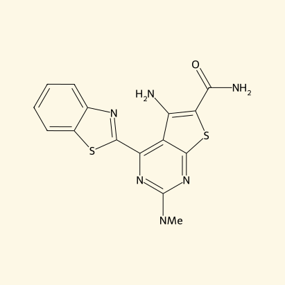 CNc1nc(-c2nc3ccccc3s2)c2c(N)c(C(N)=O)sc2n1